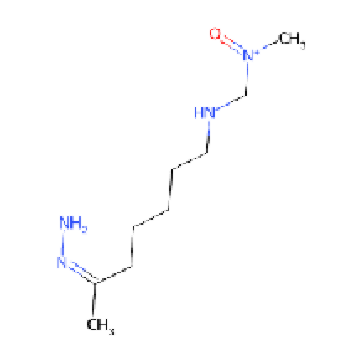 CC(CCCCCNC[N+](C)=O)=NN